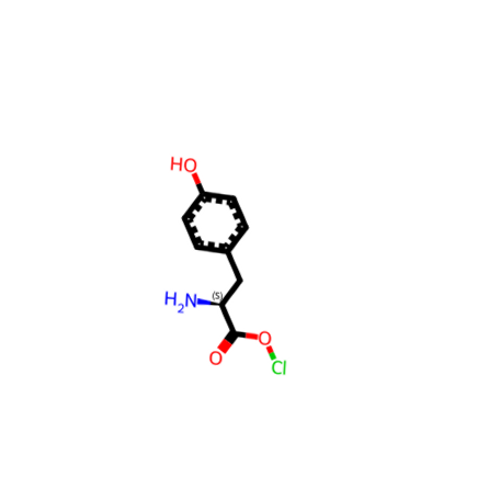 N[C@@H](Cc1ccc(O)cc1)C(=O)OCl